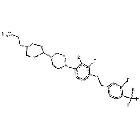 CCCC1CCC(C2CCC(c3ccc(CCc4ccc(C(F)(F)F)c(F)c4)c(F)c3F)CC2)CC1